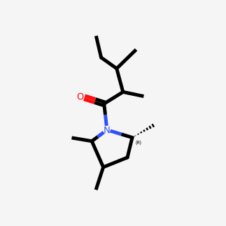 CCC(C)C(C)C(=O)N1C(C)C(C)C[C@H]1C